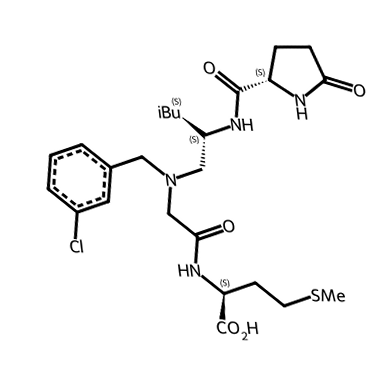 CC[C@H](C)[C@@H](CN(CC(=O)N[C@@H](CCSC)C(=O)O)Cc1cccc(Cl)c1)NC(=O)[C@@H]1CCC(=O)N1